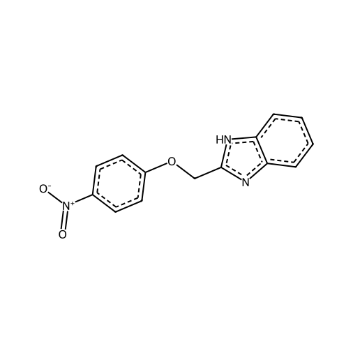 O=[N+]([O-])c1ccc(OCc2nc3ccccc3[nH]2)cc1